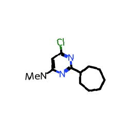 CNc1cc(Cl)nc(C2CCCCCC2)n1